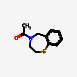 CC(=O)N1CCSc2ccccc2C1